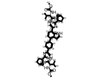 COC(=O)N[C@H](C(=O)N1CC2CCC1(c1nc(-c3ccc(-c4ccc(-c5c[nH]c(C67CCC(CN6C(=O)[C@@H](NC(=O)OC)C(C)C)C7)n5)c5[nH]ccc45)cc3)c[nH]1)C2)C(C)C